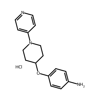 Cl.Nc1ccc(OC2CCN(c3ccncc3)CC2)cc1